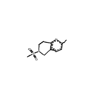 Cc1ccc2c(n1)CCN(S(C)(=O)=O)C2